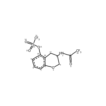 O=C(NC1COc2cccc(OS(=O)(=O)C(F)(F)F)c2C1)C(F)(F)F